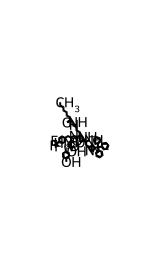 CCCCCCCC(=O)NCCCCC(NC(=O)C(N)Cc1cn(C(c2ccccc2)(c2ccccc2)c2ccccc2)cn1)C(=O)NC(Cc1ccc(C(F)(F)F)cc1)C(=O)N[C@@H](Cc1ccc(O)cc1)C(=O)O